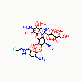 N=C(N[C@@H]1C[C@H](N)C(O[C@H]2O[C@H](CNCCF)CCC2N)C(O)C1O[C@H]1OC(CO)C(O)[C@H](N)C1O)C(O)C(O)C(O)C(O)CO